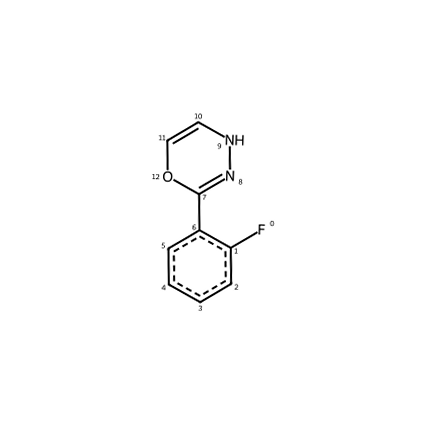 Fc1ccccc1C1=NNC=CO1